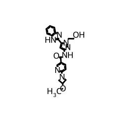 COC1CN(c2ccc(C(=O)Nc3cc(-c4nc5ccccc5[nH]4)n(CCO)n3)cn2)C1